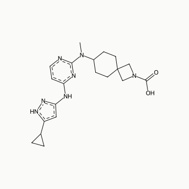 CN(c1nccc(Nc2cc(C3CC3)[nH]n2)n1)C1CCC2(CC1)CN(C(=O)O)C2